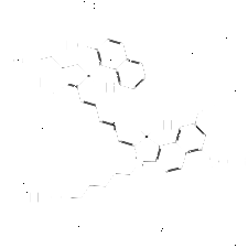 C=C(/C=C/C=C/C=C1/N(CCCCCC(=O)O)c2ccc3c(S(=O)(=O)O)cc(S(=O)(=O)O)cc3c2C1(C)C)C(C)(CCCS(=O)(=O)O)c1c(C)ccc2ccccc12